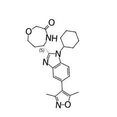 Cc1noc(C)c1-c1ccc2c(c1)nc([C@@H]1CCOCC(=O)N1)n2C1CCCCC1